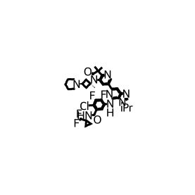 CC(C)n1cnc2cc(-c3cnc4c(c3)N([C@]3(C)C[C@H](N5CCCCC5)C3)C(=O)C4(C)C)nc(Nc3cc(C(=O)NC4(C(F)F)CC4)c(Cl)c(F)c3F)c21